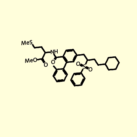 COC(=O)C(CCSC)NC(=O)c1ccc(CC(CCC2CCCCC2)S(=O)(=O)c2ccccc2)cc1-c1ccccc1C